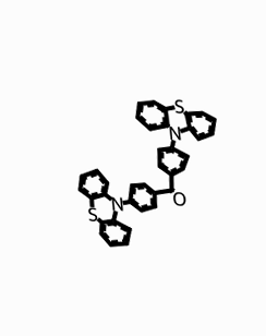 O=C(c1ccc(N2c3ccccc3Sc3ccccc32)cc1)c1ccc(N2c3ccccc3Sc3ccccc32)cc1